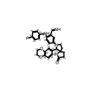 N=Cc1cc(N2CCC3(CCC(=O)N3)C2c2ccc3c(c2)OCCO3)ccc1Nc1ccc(F)cc1